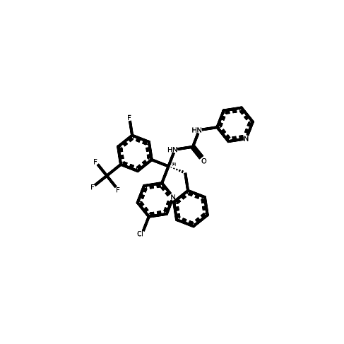 O=C(Nc1cccnc1)N[C@](Cc1ccccc1)(c1cc(F)cc(C(F)(F)F)c1)c1ccc(Cl)cn1